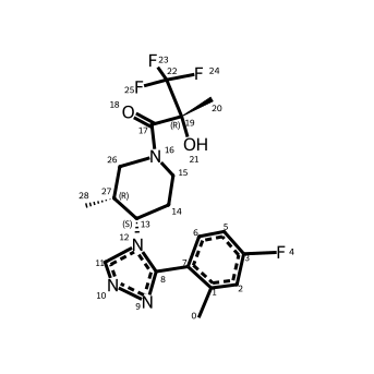 Cc1cc(F)ccc1-c1nncn1[C@H]1CCN(C(=O)[C@@](C)(O)C(F)(F)F)C[C@H]1C